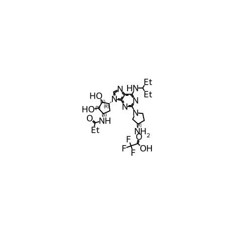 CCC(=O)N[C@H]1C[C@@H](n2cnc3c(NC(CC)CC)nc(N4CC[C@@H](N)C4)nc32)[C@H](O)[C@@H]1O.O=C(O)C(F)(F)F